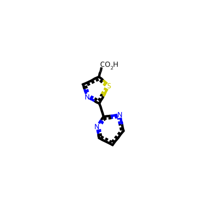 O=C(O)c1cnc(-c2ncccn2)s1